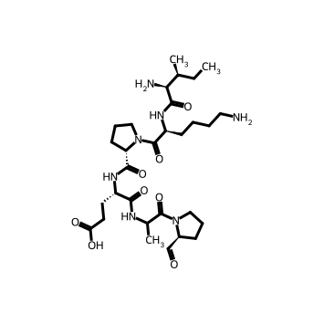 CC[C@H](C)[C@H](N)C(=O)N[C@@H](CCCCN)C(=O)N1CCC[C@H]1C(=O)N[C@@H](CCC(=O)O)C(=O)NC(C)C(=O)N1CCC[C@H]1C=O